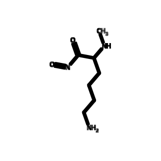 CNC(CCCCN)C(=O)N=O